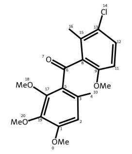 COc1cc(C)c(C(=O)c2c(OC)ccc(Cl)c2C)c(OC)c1OC